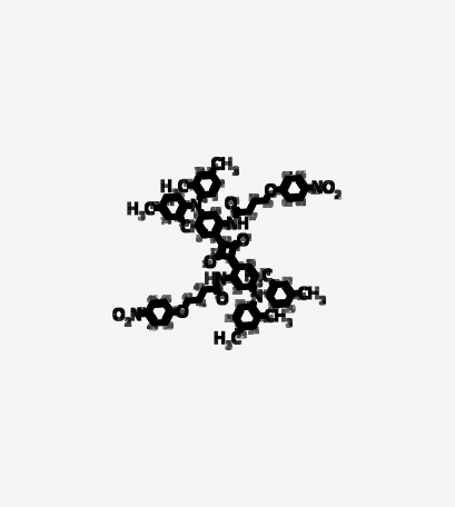 Cc1ccc(N(c2ccc(C3=C([O-])/C(=C4/C=CC(=[N+](c5ccc(C)cc5C)c5ccc(C)cc5C)C=C4NC(=O)CCCOc4ccc([N+](=O)[O-])cc4)C3=O)c(NC(=O)CCCOc3ccc([N+](=O)[O-])cc3)c2)c2ccc(C)cc2C)c(C)c1